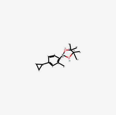 Cc1cc(C2CC2)ccc1B1OC(C)(C)C(C)(C)O1